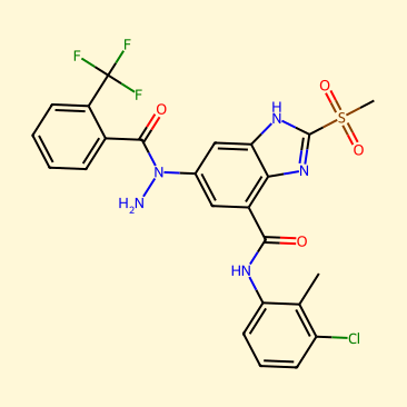 Cc1c(Cl)cccc1NC(=O)c1cc(N(N)C(=O)c2ccccc2C(F)(F)F)cc2[nH]c(S(C)(=O)=O)nc12